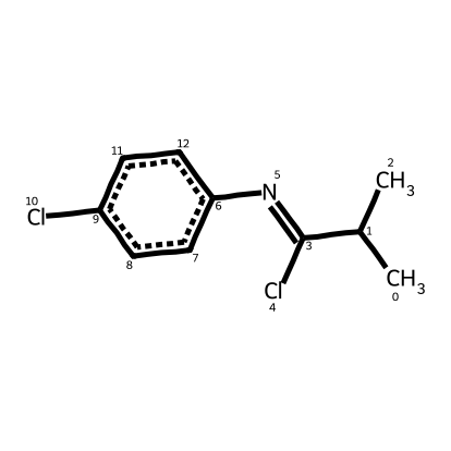 CC(C)C(Cl)=Nc1ccc(Cl)cc1